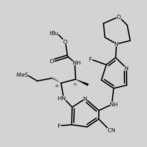 CSCC[C@@H](Nc1nc(Nc2cnc(N3CCOCC3)c(F)c2)c(C#N)cc1F)[C@H](C)NC(=O)OC(C)(C)C